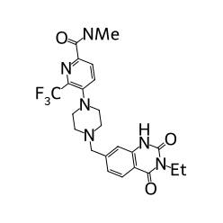 CCn1c(=O)[nH]c2cc(CN3CCN(c4ccc(C(=O)NC)nc4C(F)(F)F)CC3)ccc2c1=O